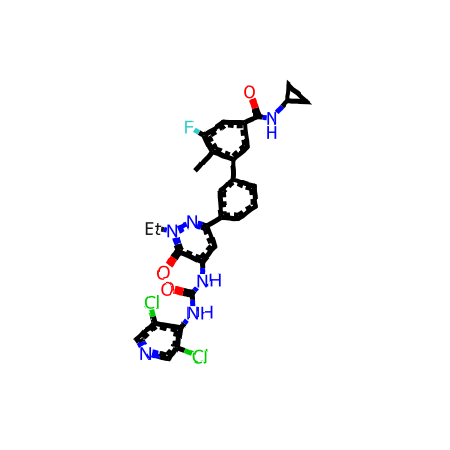 CCn1nc(-c2cccc(-c3cc(C(=O)NC4CC4)cc(F)c3C)c2)cc(NC(=O)Nc2c(Cl)cncc2Cl)c1=O